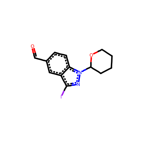 O=Cc1ccc2c(c1)c(I)nn2C1CCCCO1